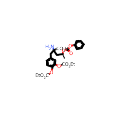 CCOC(=O)Oc1ccc(CC(N)(C[C@H](C)OC(=O)Oc2ccccc2)C(=O)O)cc1OC(=O)OCC